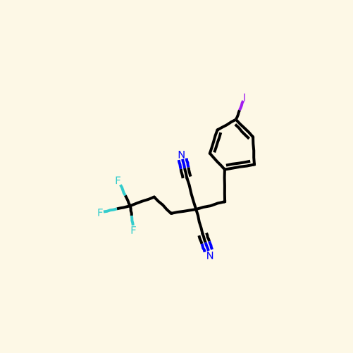 N#CC(C#N)(CCC(F)(F)F)Cc1ccc(I)cc1